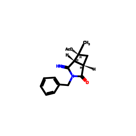 CC(=O)O[C@]1(C)C[C@H]2C(=O)N(Cc3ccccc3)C(=N)[C@H]21